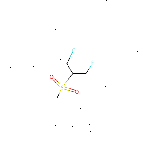 CS(=O)(=O)C(CF)CF